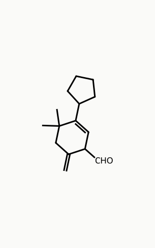 C=C1CC(C)(C)C(C2CCCC2)=CC1C=O